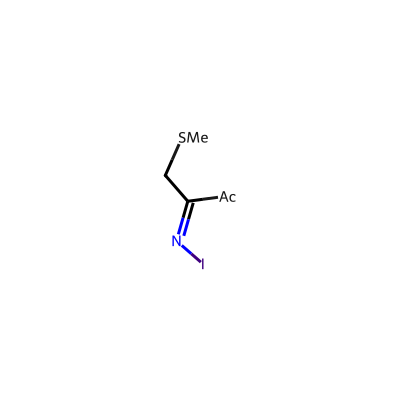 CSC/C(=N/I)C(C)=O